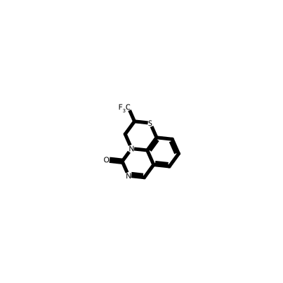 O=c1ncc2cccc3c2n1CC(C(F)(F)F)S3